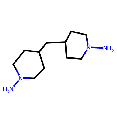 NN1CCC(CC2CCN(N)CC2)CC1